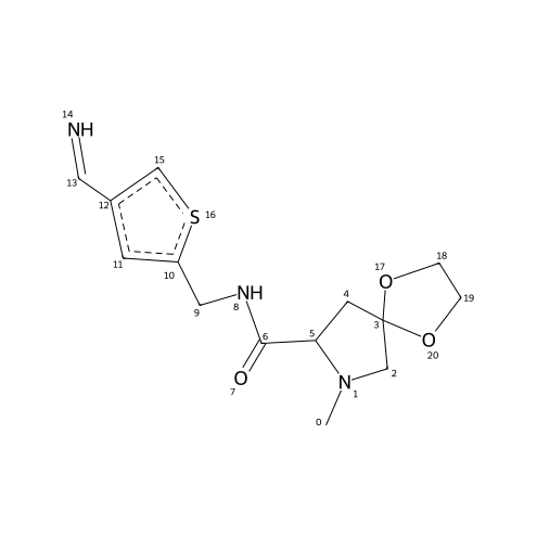 CN1CC2(CC1C(=O)NCc1cc(C=N)cs1)OCCO2